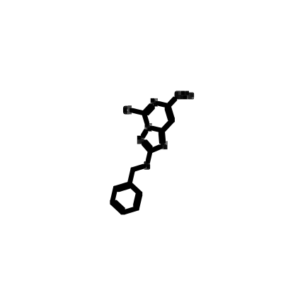 COc1cc2nc(SCc3ccccc3)nn2c(Cl)n1